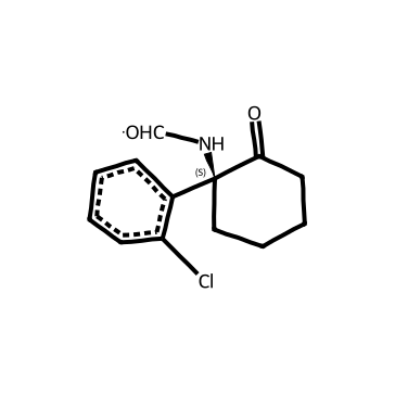 O=[C]N[C@]1(c2ccccc2Cl)CCCCC1=O